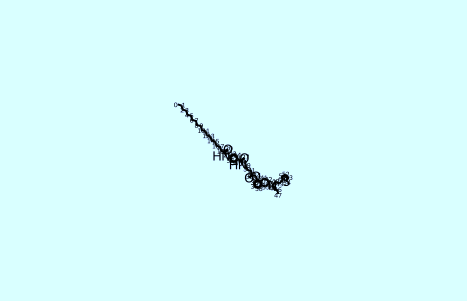 CCCCCCCCCCCCCCCCCCCC(=O)Nc1ccc(C(=O)NCCCC(=O)Oc2cccc3c2CC[C@H](N(CCC)CCc2cccs2)C3)cc1